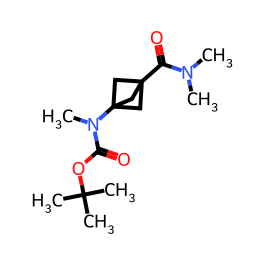 CN(C)C(=O)C12CC(N(C)C(=O)OC(C)(C)C)(C1)C2